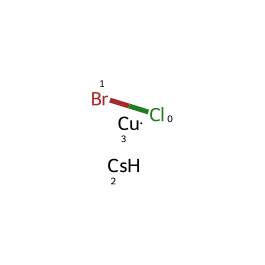 ClBr.[CsH].[Cu]